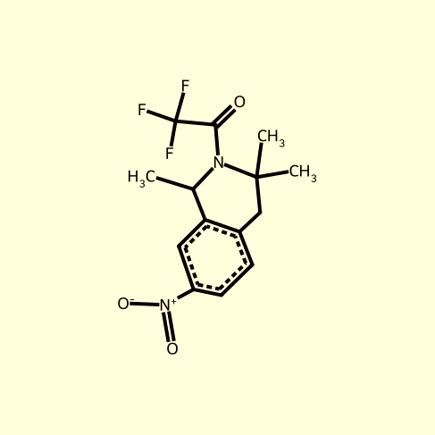 CC1c2cc([N+](=O)[O-])ccc2CC(C)(C)N1C(=O)C(F)(F)F